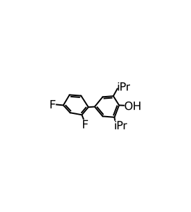 CC(C)c1cc(-c2ccc(F)cc2F)cc(C(C)C)c1O